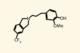 COc1cc(CCCN2Cc3ccc(C(F)(F)F)cc3C2)ccc1O